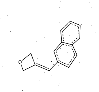 C(=C1COC1)c1ccc2ccccc2c1